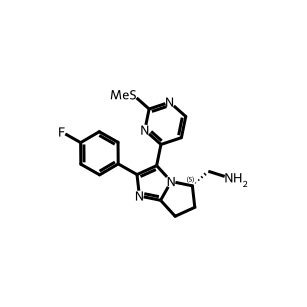 CSc1nccc(-c2c(-c3ccc(F)cc3)nc3n2[C@H](CN)CC3)n1